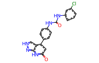 O=C(Nc1ccc(-c2cc(=O)[nH]c3n[nH]cc23)cc1)Nc1cccc(Cl)c1